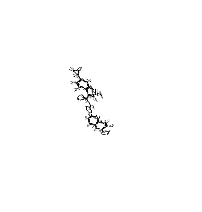 O=C(COc1ccc2cc(Cl)ccc2n1)c1c[nH]c2cc(C3CC3)ccc12